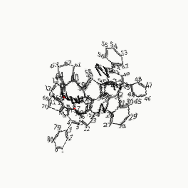 c1ccc(-c2ccc3c(c2)c2ccccc2n3-c2c(-c3ccccc3-n3c4ccccc4c4ccccc43)cc(-c3nc(-c4ccccc4)cc(-c4ccccc4)n3)cc2-c2ccccc2-n2c3ccccc3c3ccccc32)cc1